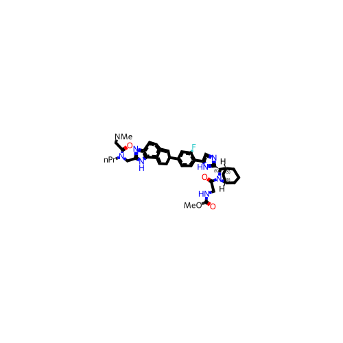 CCCN(Cc1nc2ccc3c(c2[nH]1)=CCC(c1ccc(-c2cnc([C@@H]4[C@H]5CCC[C@H](C5)N4C(=O)CNC(=O)OC)[nH]2)c(F)c1)C=3)C(=O)CNC